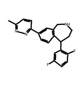 Cc1ccc(-c2ccc3c(c2)CNCCC3c2cc(F)ccc2F)nn1